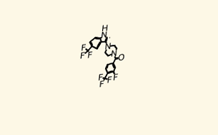 O=C(c1ccc(C(F)(F)F)c(F)c1)N1CCN(c2[c][nH]c3ccc(C(F)(F)F)cc23)CC1